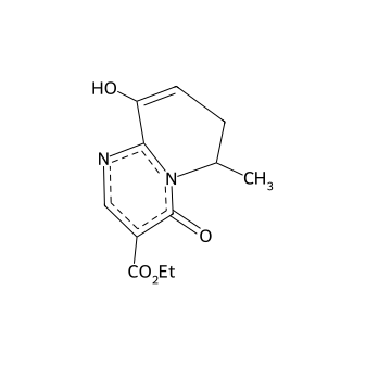 CCOC(=O)c1cnc2n(c1=O)C(C)CC=C2O